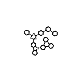 c1ccc(-c2cccc(-c3ccc(-c4nc(-c5ccccc5)nc(-c5ccc6c7ccccc7n(-c7ccc8c9ccccc9c9ccccc9c8c7)c6c5)n4)cc3)c2)cc1